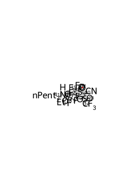 CCCCCC(CC)NS(=O)(=O)C(F)(F)C(F)(F)C(F)(F)S(=O)(=O)C(C#N)S(=O)(=O)C(F)(F)F